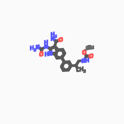 CC(CNC(=O)OC(C)(C)C)c1cccc(-c2ccc3c(C(N)=O)c(NC(N)=O)[nH]c3c2)c1